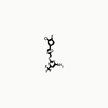 Nc1cc(C(F)(F)F)nc(SCc2ncc(-c3ccc(F)c(Cl)c3)o2)n1